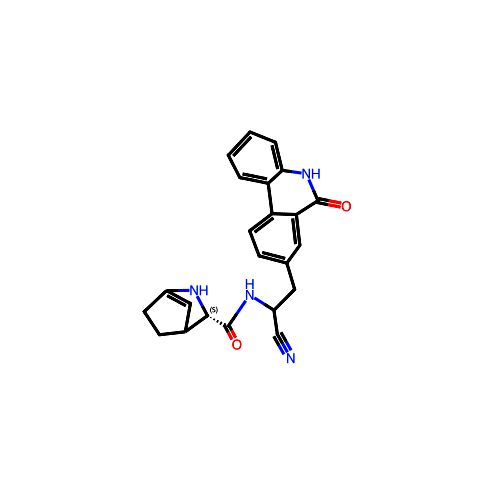 N#CC(Cc1ccc2c(c1)c(=O)[nH]c1ccccc12)NC(=O)[C@H]1NC2=CC1CC2